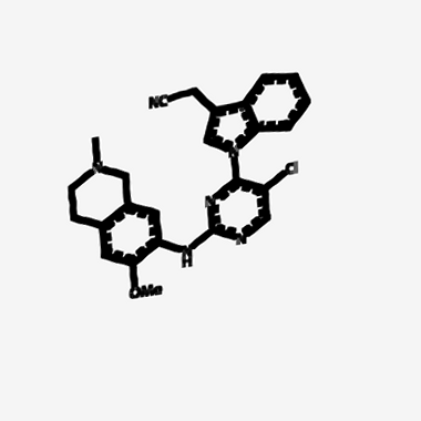 COc1cc2c(cc1Nc1ncc(Cl)c(-n3cc(CC#N)c4ccccc43)n1)CN(C)CC2